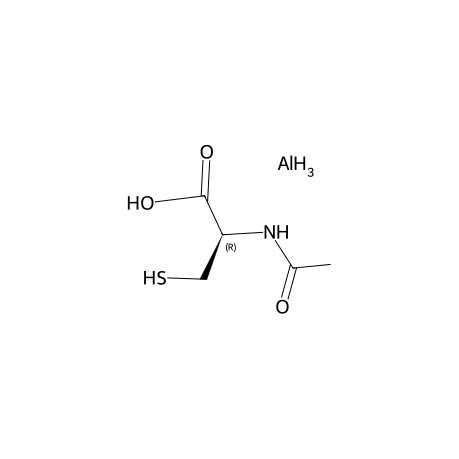 CC(=O)N[C@@H](CS)C(=O)O.[AlH3]